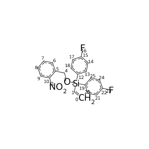 C=C[Si](OCc1ccccc1[N+](=O)[O-])(c1ccc(F)cc1)c1ccc(F)cc1